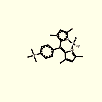 CC1=CC(C)=[N+]2C1=C(c1ccc([N+](C)(C)C)cc1)c1c(C)cc(C)n1[B-]2(F)[18F]